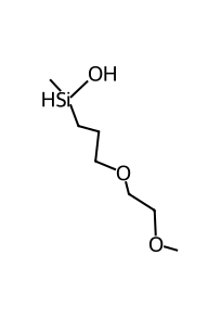 COCCOCCC[SiH](C)O